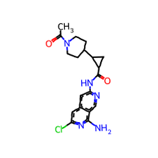 CC(=O)N1CCC(C2CC2C(=O)Nc2cc3cc(Cl)nc(N)c3cn2)CC1